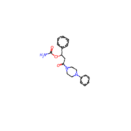 NC(=O)OC(CC(=O)N1CCN(c2ccccc2)CC1)c1ccccc1